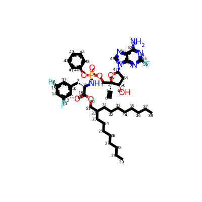 C#C[C@]1(COP(=O)(N[C@@H](Cc2cc(F)cc(F)c2)C(=O)OCC(CCCCCCCC)CCCCCCCC)Oc2ccccc2)O[C@@H](n2cnc3c(N)nc(F)nc32)C[C@@H]1O